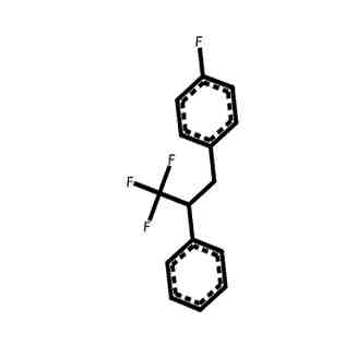 Fc1ccc(CC(c2ccccc2)C(F)(F)F)cc1